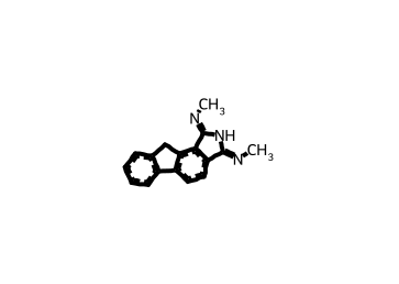 C/N=C1\N/C(=N\C)c2c1ccc1c2Cc2ccccc2-1